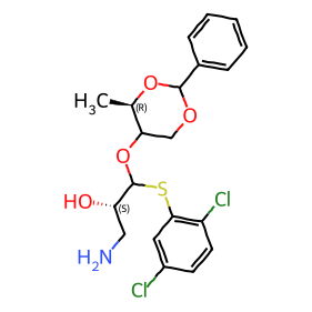 C[C@H]1OC(c2ccccc2)OCC1OC(Sc1cc(Cl)ccc1Cl)[C@@H](O)CN